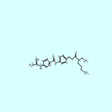 CCCCN(CC)C(=O)CCc1ccc(OC(=O)c2ccc(NC(=N)N)cc2)cc1